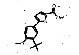 COc1ccc(-c2ccc(C(=O)O)s2)cc1C(C)(C)C